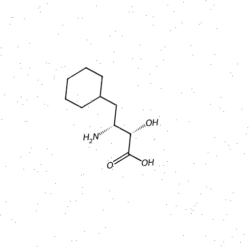 N[C@H](CC1CCCCC1)[C@H](O)C(=O)O